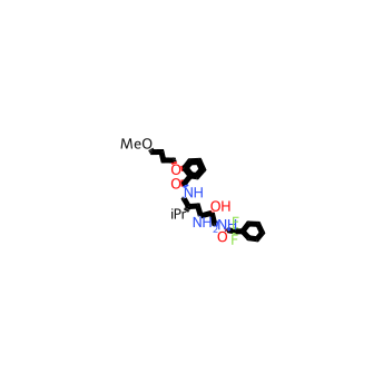 COCCCCOc1ccccc1C(=O)NCC(CC(N)C(O)CNC(=O)C(F)(F)C1CCCCC1)C(C)C